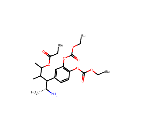 CCC(C)COC(=O)Oc1ccc(C(C(C)C(C)OC(=O)CC(C)(C)C)[C@H](N)C(=O)O)cc1OC(=O)OCC(C)CC